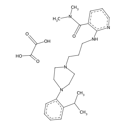 CC(C)c1ccccc1N1CCN(CCCNc2ncccc2C(=O)N(C)C)CC1.O=C(O)C(=O)O